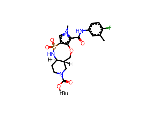 Cc1cc(NC(=O)c2c3c(cn2C)S(=O)(=O)N[C@@H]2CCN(C(=O)OC(C)(C)C)C[C@H]2CO3)ccc1F